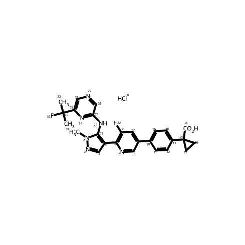 Cl.Cn1ncc(-c2ncc(-c3ccc(C4(C(=O)O)CC4)cc3)cc2F)c1Nc1cncc(C(C)(C)F)n1